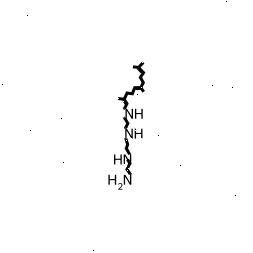 CC(C)=CCCC(C)=CCCC(C)=CCNCCCNCCCCNCCCN